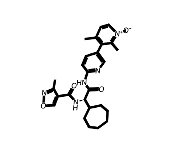 Cc1cc[n+]([O-])c(C)c1-c1ccc(NC(=O)[C@@H](NC(=O)c2conc2C)C2CCCCCC2)nc1